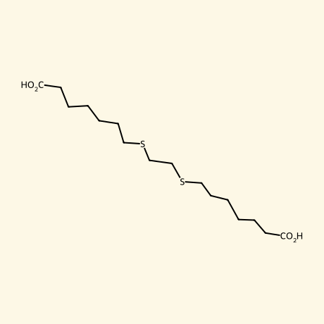 O=C(O)CCCCCCSCCSCCCCCCC(=O)O